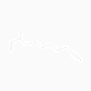 C=CC(C)CCCCCCC#N